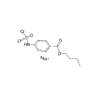 CCCCOC(=O)c1ccc(NS(=O)(=O)[O-])cc1.[Na+]